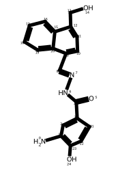 Nc1cc(C(=O)N/N=C/c2ccc(CO)c3ccccc23)ccc1O